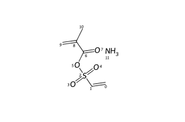 C=CS(=O)(=O)OC(=O)C(=C)C.N